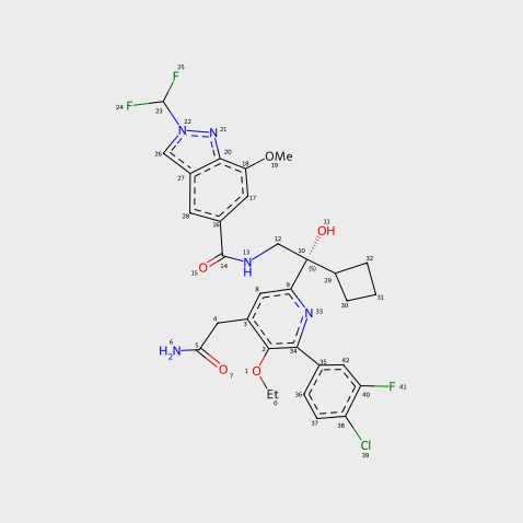 CCOc1c(CC(N)=O)cc([C@@](O)(CNC(=O)c2cc(OC)c3nn(C(F)F)cc3c2)C2CCC2)nc1-c1ccc(Cl)c(F)c1